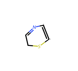 [C]1=[C]SCC=N1